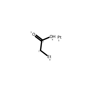 CCCC(=O)O.[Pt]